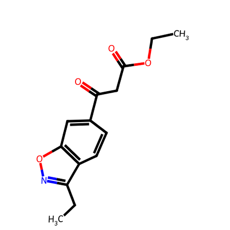 CCOC(=O)CC(=O)c1ccc2c(CC)noc2c1